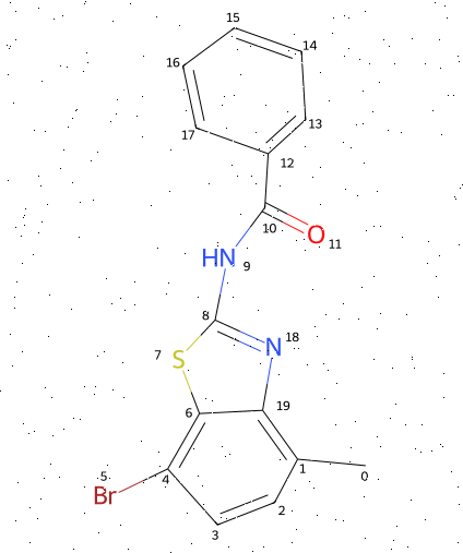 Cc1ccc(Br)c2sc(NC(=O)c3ccccc3)nc12